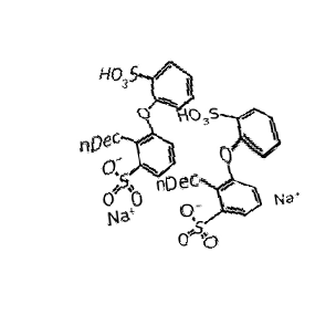 CCCCCCCCCCc1c(Oc2ccccc2S(=O)(=O)O)cccc1S(=O)(=O)[O-].CCCCCCCCCCc1c(Oc2ccccc2S(=O)(=O)O)cccc1S(=O)(=O)[O-].[Na+].[Na+]